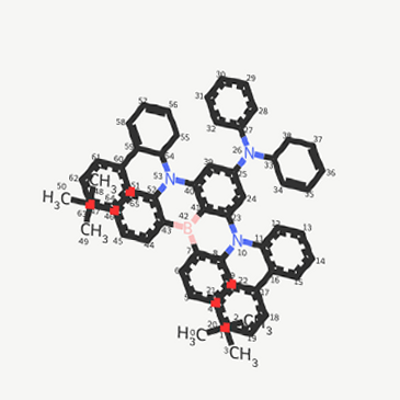 CC(C)(C)c1ccc2c(c1)N(c1ccccc1-c1ccccc1)c1cc(N(c3ccccc3)C3C=CC=CC3)cc3c1B2c1ccc(C(C)(C)C)cc1N3C1CC=CC=C1c1ccccc1